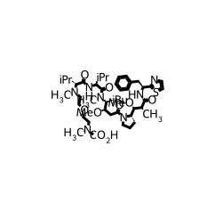 CC[C@H](C)[C@@H]([C@@H](CC(=O)N1CCC[C@H]1[C@H](OC)[C@@H](C)C(=O)N[C@@H](Cc1ccccc1)c1nccs1)OC)N(C)C(=O)[C@@H](NC(=O)[C@@H](C(C)C)N(C)CCOCCN(C)C(=O)O)C(C)C